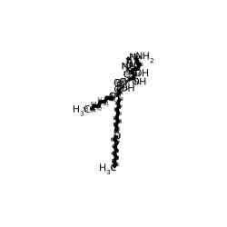 CCCCCCCCCOCCCCCCCCCC[C@H](COP(=O)(O)OC[C@H]1O[C@@](C#N)(c2ccc3c(N)ncnn23)C(O)[C@H]1O)OCCCCCCCC